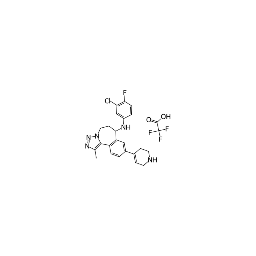 Cc1nnn2c1-c1ccc(C3=CCNCC3)cc1C(Nc1ccc(F)c(Cl)c1)CC2.O=C(O)C(F)(F)F